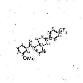 COc1cccc(Nc2ncnc3c2CCN(c2ccc(C(F)(F)F)cn2)C3)c1